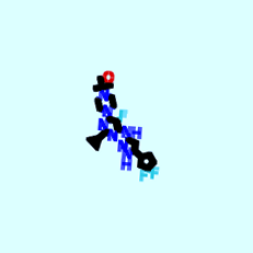 CC1(N2CCN(c3nc(C4CC4)nc(Nc4cc(C5CCC(F)(F)C5)[nH]n4)c3F)CC2)COC1